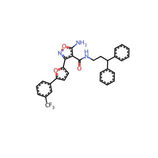 Nc1onc(-c2ccc(-c3cccc(C(F)(F)F)c3)o2)c1C(=O)NCCC(c1ccccc1)c1ccccc1